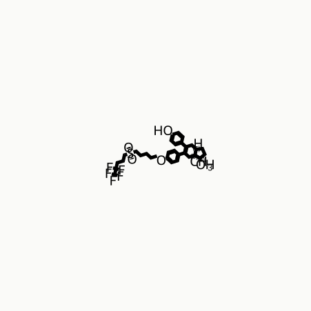 C[C@]12CC(c3ccc(OCCCCCS(=O)(=O)CCCC(F)(F)C(F)(F)F)cc3)=C(c3ccc(O)cc3)C[C@@H]1CC[C@@H]2O